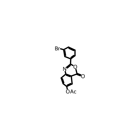 CC(=O)Oc1ccc2nc(-c3cccc(Br)c3)oc(=O)c2c1